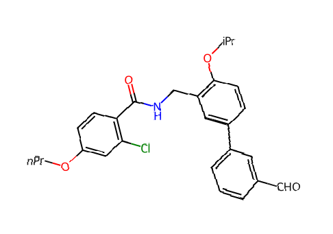 CCCOc1ccc(C(=O)NCc2cc(-c3cccc(C=O)c3)ccc2OC(C)C)c(Cl)c1